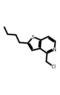 CCCCc1cc2c(CCl)nccc2s1